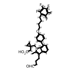 Cc1c(CCCC=O)c2cccc(-c3ccc(OCCCCc4c(F)c(F)c(F)c(F)c4F)cc3)c2n1CC1(CC(=O)O)CC1